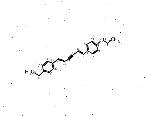 CCOc1ccc(/C=C/C#C/C=C/c2ccc(CC)cc2)cc1